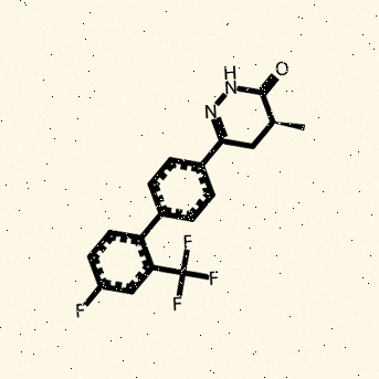 C[C@H]1CC(c2ccc(-c3ccc(F)cc3C(F)(F)F)cc2)=NNC1=O